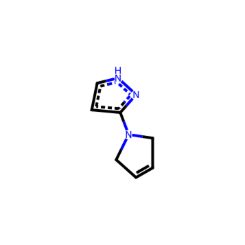 C1=CCN(c2cc[nH]n2)C1